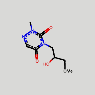 COCC(O)Cn1c(=O)cnn(C)c1=O